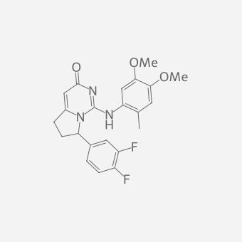 COc1cc(C)c(Nc2nc(=O)cc3n2C(c2ccc(F)c(F)c2)CC3)cc1OC